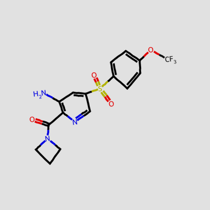 Nc1cc(S(=O)(=O)c2ccc(OC(F)(F)F)cc2)cnc1C(=O)N1CCC1